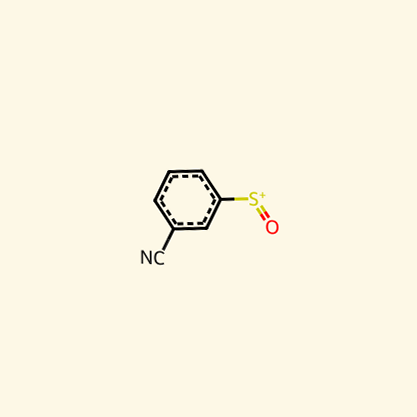 N#Cc1cccc([S+]=O)c1